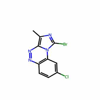 Cc1nc(Br)n2c1nnc1ccc(Cl)cc12